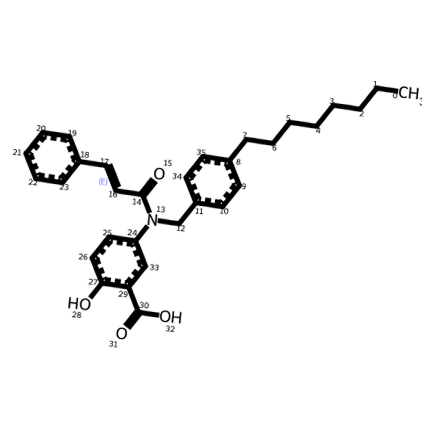 CCCCCCCCc1ccc(CN(C(=O)/C=C/c2ccccc2)c2ccc(O)c(C(=O)O)c2)cc1